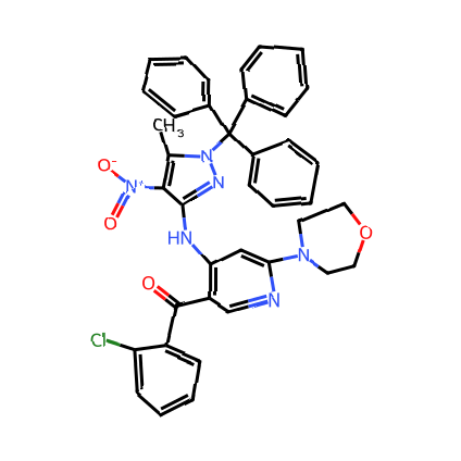 Cc1c([N+](=O)[O-])c(Nc2cc(N3CCOCC3)ncc2C(=O)c2ccccc2Cl)nn1C(c1ccccc1)(c1ccccc1)c1ccccc1